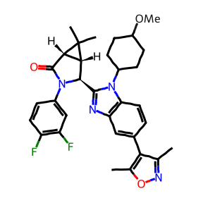 COC1CCC(n2c([C@@H]3[C@@H]4[C@H](C(=O)N3c3ccc(F)c(F)c3)C4(C)C)nc3cc(-c4c(C)noc4C)ccc32)CC1